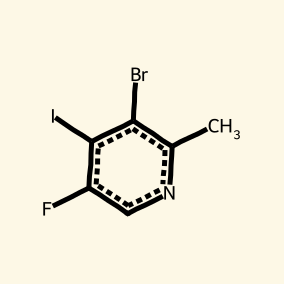 Cc1ncc(F)c(I)c1Br